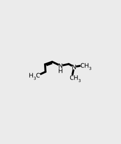 CC/C=C\NCN(C)C